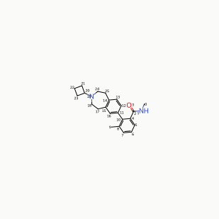 CNC(=O)c1cccc(C)c1-c1ccc2c(c1)CCN(C1CCC1)CC2